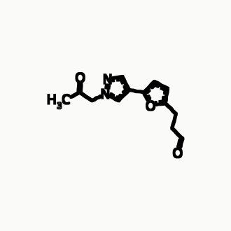 CC(=O)Cn1cc(-c2ccc(CCC=O)o2)cn1